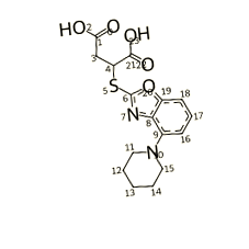 O=C(O)CC(Sc1nc2c(N3CCCCC3)cccc2o1)C(=O)O